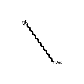 CCCCCCCCCCCCCCCCCCCCCCCCCCCCC[CH][Ge]([CH3])([CH3])[CH3]